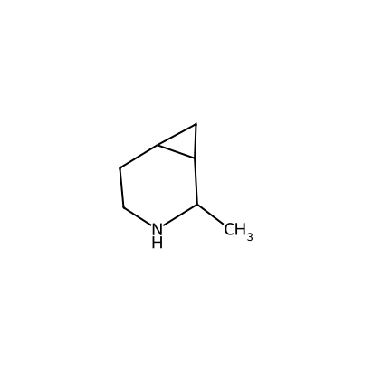 CC1NCCC2CC21